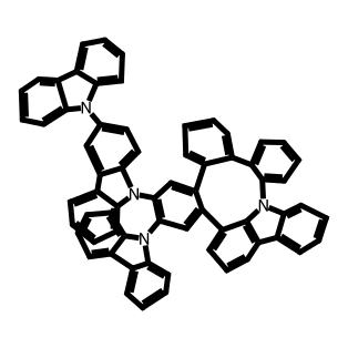 c1ccc2c(c1)c1cc(-n3c4ccccc4c4cc(-n5c6ccccc6c6ccccc65)ccc43)c(-n3c4ccccc4c4ccccc43)cc1c1cccc3c4ccccc4n(c4ccccc24)c13